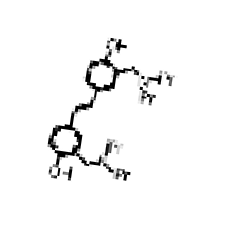 CC(C)N(Cc1cc(C=Cc2ccc(O)c(CN(C(C)C)C(C)C)c2)ccc1O)C(C)C